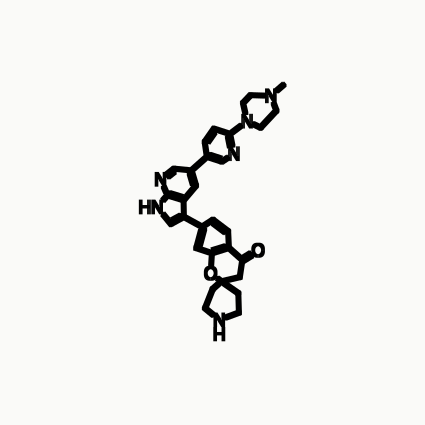 CN1CCN(c2ccc(-c3cnc4[nH]cc(-c5ccc6c(c5)OC5(CCNCC5)CC6=O)c4c3)cn2)CC1